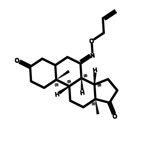 C=CCON=C1CC2CC(=O)CC[C@]2(C)[C@H]2CC[C@]3(C)C(=O)CC[C@H]3[C@H]12